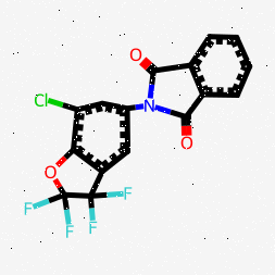 O=C1c2ccccc2C(=O)N1c1cc(Cl)c2c(c1)C(F)(F)C(F)(F)O2